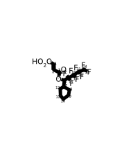 O=C(O)C=CC(=O)OC(C1CCCCC1)C(F)(F)C(F)(F)C(F)(F)C(F)F